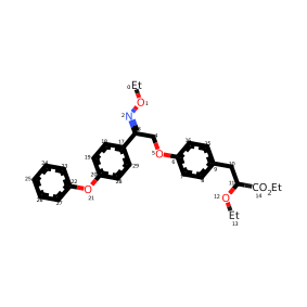 CCO/N=C(\COc1ccc(CC(OCC)C(=O)OCC)cc1)c1ccc(Oc2ccccc2)cc1